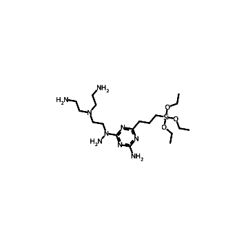 CCO[Si](CCCc1nc(N)nc(N(N)CCN(CCN)CCN)n1)(OCC)OCC